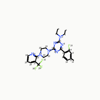 CCN(CC)c1nc(-c2ccc(C)cc2F)nc(N2CCN(c3ncccc3C(F)(F)F)CC2)n1